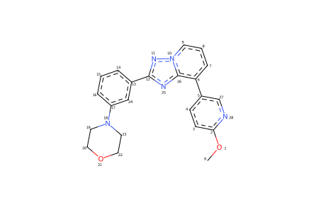 COc1ccc(-c2cccn3nc(-c4[c]ccc(N5CCOCC5)c4)nc23)cn1